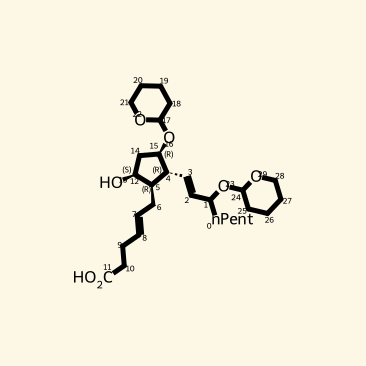 CCCCCC(C=C[C@@H]1[C@@H](CC=CCCC(=O)O)[C@@H](O)C[C@H]1OC1CCCCO1)OC1CCCCO1